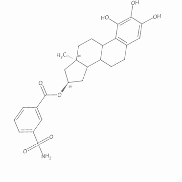 C[C@]12CCC3c4c(cc(O)c(O)c4O)CCC3C1C[C@@H](OC(=O)c1cccc(S(N)(=O)=O)c1)C2